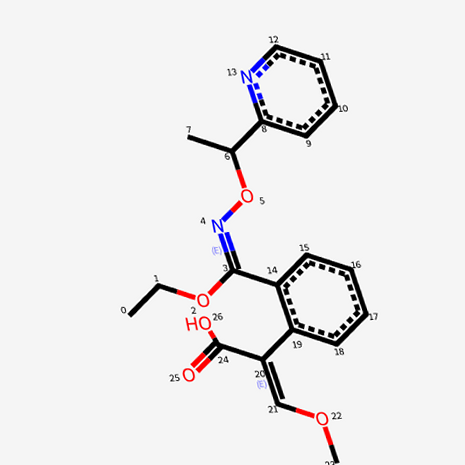 CCO/C(=N/OC(C)c1ccccn1)c1ccccc1/C(=C\OC)C(=O)O